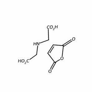 O=C(O)CNCC(=O)O.O=C1C=CC(=O)O1